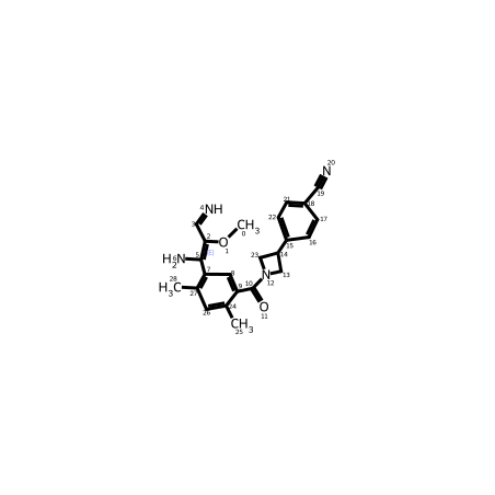 CO/C(C=N)=C(/N)c1cc(C(=O)N2CC(c3ccc(C#N)cc3)C2)c(C)cc1C